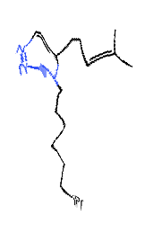 CC(C)=CCc1cnnn1CCCCCCC(C)C